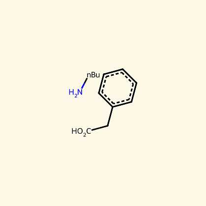 CCCCN.O=C(O)Cc1ccccc1